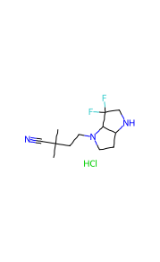 CC(C)(C#N)CCN1CCC2NCC(F)(F)C21.Cl